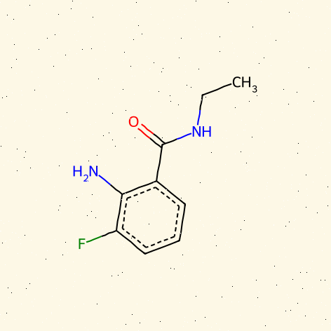 CCNC(=O)c1cccc(F)c1N